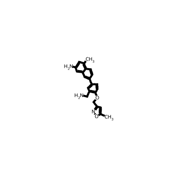 Cc1cc(COc2ccc(-c3ccc4c(C)cc(N)cc4c3)cc2CN)no1